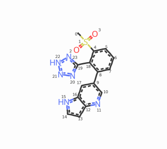 CS(=O)(=O)c1cccc(-c2cnc3cc[nH]c3c2)c1-c1nn[nH]n1